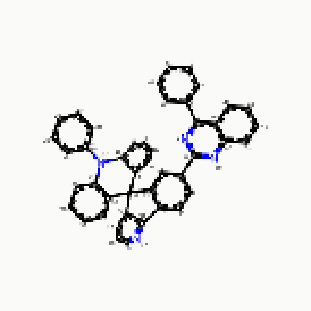 c1ccc(-c2nc(-c3ccc4c(c3)C3(c5ccccc5N(c5ccccc5)c5ccccc53)c3cccnc3-4)nc3ccccc23)cc1